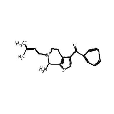 CC(C)=CCN1CCc2c(C(=O)c3ccccc3)csc2C1N